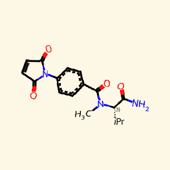 CC(C)[C@@H](C(N)=O)N(C)C(=O)c1ccc(N2C(=O)C=CC2=O)cc1